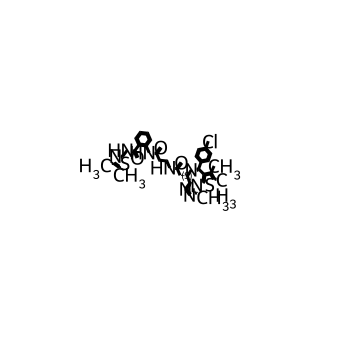 Cc1nc(NC(=O)c2ccccc2NC(=O)CCNC(=O)C[C@@H]2N=C(c3ccc(Cl)cc3)c3c(sc(C)c3C)-n3c(C)nnc32)sc1C